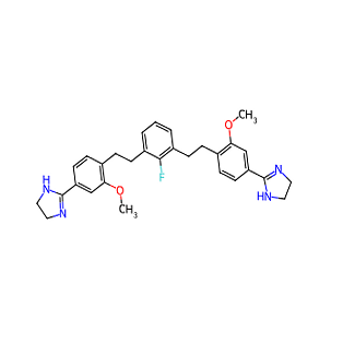 COc1cc(C2=NCCN2)ccc1CCc1cccc(CCc2ccc(C3=NCCN3)cc2OC)c1F